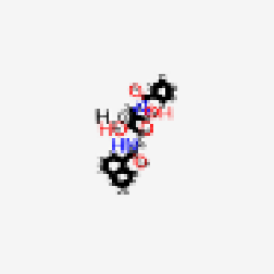 C[C@@]1(CN(O)C(=O)c2ccccc2)CO[C@H](CNC(=O)c2cccc3ccccc23)[C@H]1O